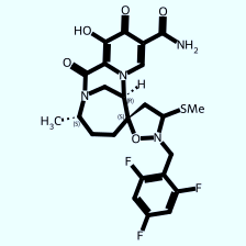 CSC1C[C@]2(CC[C@H](C)N3C[C@H]2n2cc(C(N)=O)c(=O)c(O)c2C3=O)ON1Cc1c(F)cc(F)cc1F